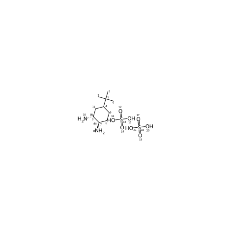 CC(C)(C)C1CC[C@@H](N)[C@H](N)C1.O=S(=O)(O)O.O=S(=O)(O)O